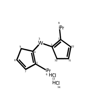 CC(C)C1=[C]([W][C]2=C(C(C)C)C=CC2)CC=C1.Cl.Cl